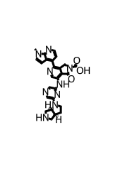 Cn1ccc2c(-c3ncc(Nc4cncc(N5CC[C@@H]6CNC[C@@H]65)n4)c4c3CN(C(=O)O)C4=O)ccnc21